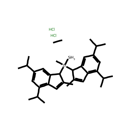 CC.CC1=Cc2c(C(C)C)cc(C(C)C)cc2[CH]1[Zr]([CH3])([SiH3])[CH]1C(C)=Cc2c(C(C)C)cc(C(C)C)cc21.Cl.Cl